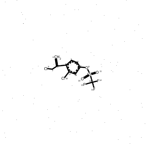 C=C(CCl)c1ccc(OS(=O)(=O)C(F)(F)F)cc1Cl